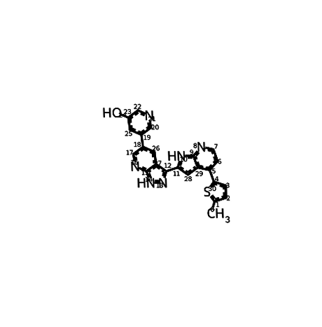 Cc1ccc(-c2ccnc3[nH]c(-c4n[nH]c5ncc(-c6cncc(O)c6)cc45)cc23)s1